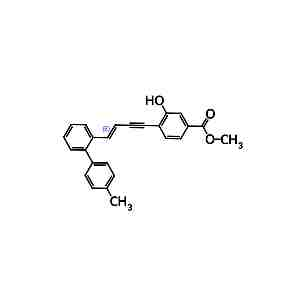 COC(=O)c1ccc(C#C/C=C/c2ccccc2-c2ccc(C)cc2)c(O)c1